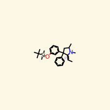 C/C=C1\N(C)C(C)CC1(c1ccccc1)c1cccc(O[Si](C)(C)C(C)(C)C)c1